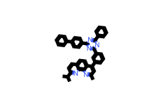 Cc1cc(-c2cccc(-c3nc(-c4ccccc4)nc(-c4ccc(-c5ccccc5)cc4)n3)c2)c2ccc3ccc(C(C)C)nc3c2n1